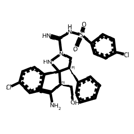 N=C(NS(=O)(=O)c1ccc(Cl)cc1)N1C[C@@H](c2ccccc2)C(c2ccc(Cl)cc2)([C@@H](CO)C(N)=O)N1